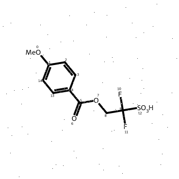 COc1ccc(C(=O)OCC(F)(F)S(=O)(=O)O)cc1